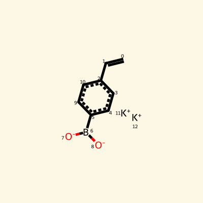 C=Cc1ccc(B([O-])[O-])cc1.[K+].[K+]